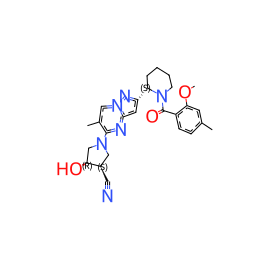 COc1cc(C)ccc1C(=O)N1CCCC[C@H]1c1cc2nc(N3C[C@@H](C#N)[C@@H](O)C3)c(C)cn2n1